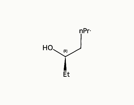 CC[CH]C[C@H](O)CC